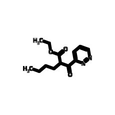 CCCCC(C(=O)OCC)C(=O)c1cccnn1